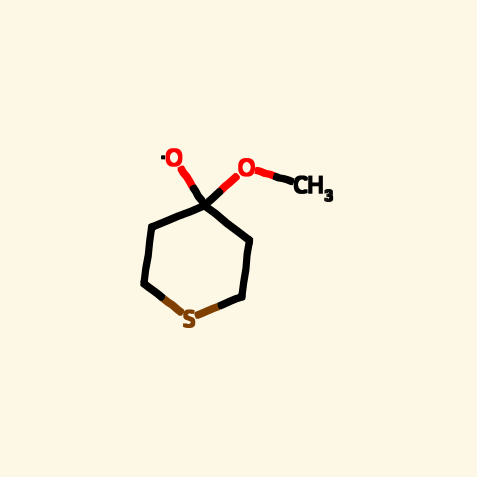 COC1([O])CCSCC1